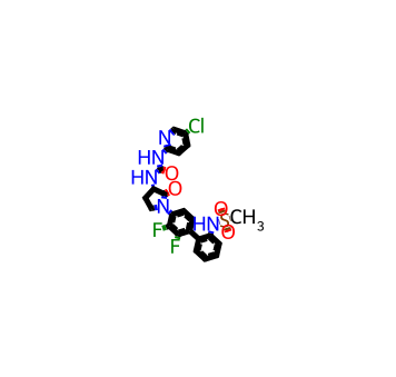 CS(=O)(=O)Nc1ccccc1-c1ccc(N2CC[C@@H](NC(=O)Nc3ccc(Cl)cn3)C2=O)c(F)c1F